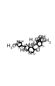 Cn1cc(-c2nc3c(NC45CCC(C)(C(O)C4)C5(C)C)c(Cl)cnc3[nH]2)cn1